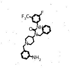 Nc1cccc(CN2CCC(N(Cc3ccccc3)C(=O)Nc3cc(F)cc(C(F)(F)F)c3)CC2)c1